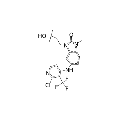 Cn1c(=O)n(CCC(C)(C)O)c2cc(Nc3ccnc(Cl)c3C(F)(F)F)ccc21